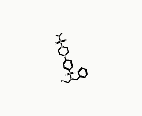 CC(C)CN(Cc1ccccc1)S(=O)(=O)c1ccc(N2CCN(S(=O)(=O)N(C)C)CC2)cc1